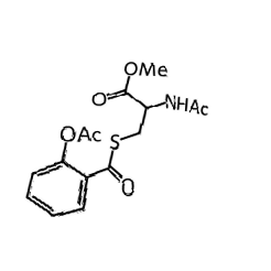 COC(=O)C(CSC(=O)c1ccccc1OC(C)=O)NC(C)=O